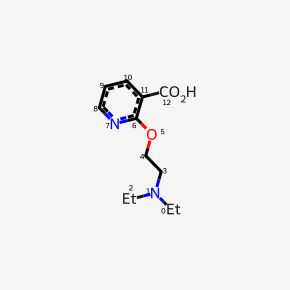 CCN(CC)CCOc1ncccc1C(=O)O